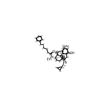 CCN(C(=O)CCCCCc1ccccc1)[C@H]1CC[C@H]2[C@H]3Cc4c(O)cc(OC(C)=O)c5c4[C@@]2(CCN3CC2CC2)[C@H]1O5